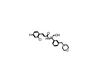 O=C(/C=C/c1ccc(F)cc1Cl)N[C@@H](CO)c1cccc(CN2CCOCC2)c1